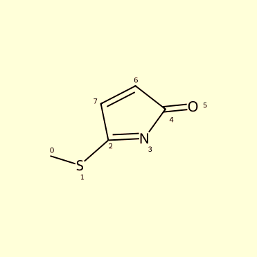 CSC1=NC(=O)C=C1